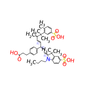 C=C(/C=C/C(=C/C=C1/N(CCCC)c2ccc(S(=O)(=O)O)cc2C1(C)C)c1ccc(CCC(=O)O)cc1)C(C)(C)c1cc(S(=O)(=O)O)ccc1C